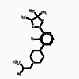 CCc1c(B2OC(C)C(C)(C)O2)cccc1C1CCN(CC(CC)C(=O)O)CC1